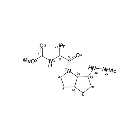 COC(=O)NC(C(=O)N1CCC2CCC(NNC(C)=O)C21)C(C)C